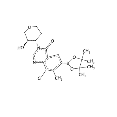 Cc1c(B2OC(C)(C)C(C)(C)O2)cc2c(=O)n([C@H]3CCOC[C@@H]3O)cnc2c1Cl